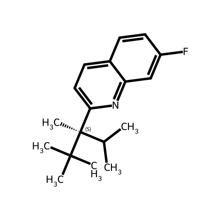 CC(C)[C@](C)(c1ccc2ccc(F)cc2n1)C(C)(C)C